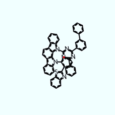 c1ccc(-c2cccc(-c3nc(-c4ccccc4)nc(-n4c5ccccc5c5ccc6c7ccccc7n(-c7ccccc7-c7nc8ccccc8s7)c6c54)n3)c2)cc1